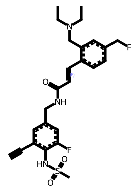 C#Cc1cc(CNC(=O)/C=C/c2ccc(CF)cc2CN(CC)CC)cc(F)c1NS(C)(=O)=O